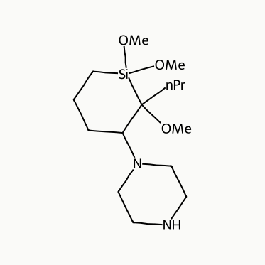 CCCC1(OC)C(N2CCNCC2)CCC[Si]1(OC)OC